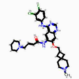 CN1CCC2(CC1)CC(COc1cc3ncnc(Nc4ccc(F)c(Cl)c4)c3cc1NC(=O)/C=C/CN1CCCCC1)C2